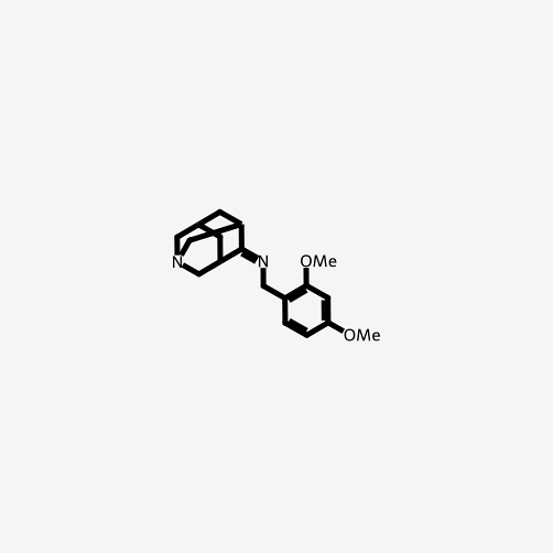 COc1ccc(CN=C2C3CC4CC2CN(C4)C3)c(OC)c1